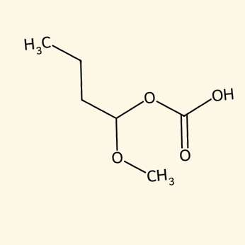 CCCC(OC)OC(=O)O